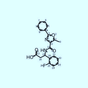 Cc1oc(-c2ccccc2)nc1C(=O)NC(CC(=O)O)c1ccccc1F